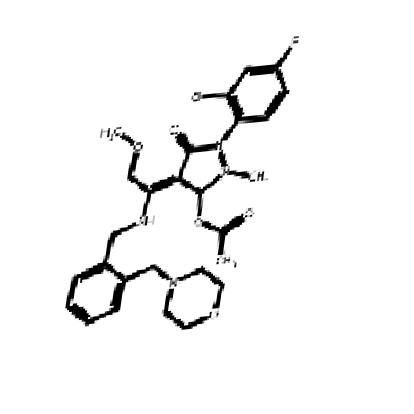 COCC(NCc1ccccc1CN1CCOCC1)=C1C(=O)N(c2ccc(F)cc2Cl)N(C)C1OC(C)=O